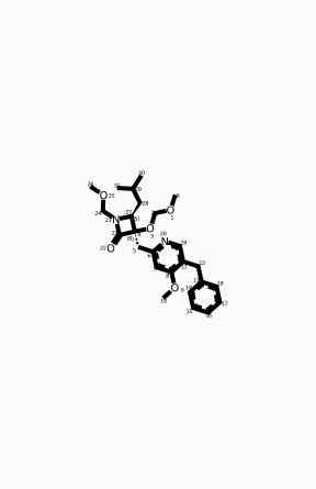 COCO[C@@]1(Cc2cc(OC)c(Cc3ccccc3)cn2)C(=O)N(COC)[C@H]1CC(C)C